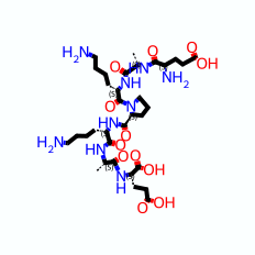 C[C@H](NC(=O)[C@H](CCCCN)NC(=O)[C@@H]1CCCN1C(=O)[C@H](CCCCN)NC(=O)[C@H](C)NC(=O)[C@@H](N)CCC(=O)O)C(=O)N[C@@H](CCC(=O)O)C(=O)O